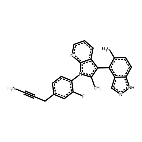 Cc1ccc2[nH]ncc2c1-c1c(C)n(-c2ccc(CC#CN)cc2F)c2ncccc12